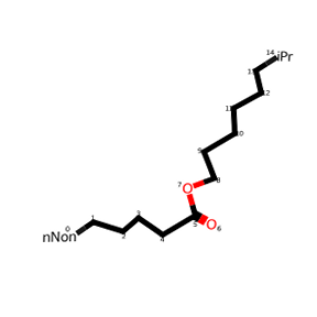 CCCCCCCCCCCCCC(=O)OCCCCCCC(C)C